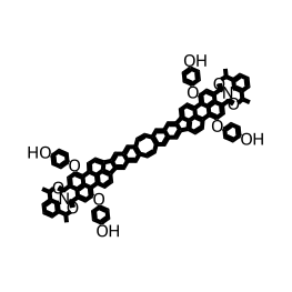 CC(C)c1cccc(C(C)C)c1N1C(=O)c2cc(Oc3ccc(O)cc3)c3c4ccc5c6c(ccc(c7c(Oc8ccc(O)cc8)cc(c2c37)C1=O)c64)-c1cc2cc3c(cc2cc1-5)/C=C\c1cc2cc4c(cc2cc1/C=C\3)-c1ccc2c3c(Oc5ccc(O)cc5)cc5c6c(cc(Oc7ccc(O)cc7)c(c7ccc-4c1c72)c63)C(=O)N(c1c(C(C)C)cccc1C(C)C)C5=O